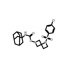 O=C(NC12CC3CC(CC(C3)C1)C2)ON1CC2(CCN2S(=O)(=O)c2ccc(Cl)cc2)C1